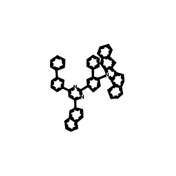 c1ccc(-c2cccc(-c3cc(-c4ccc5ccccc5c4)nc(-c4ccc(-n5c6cc7ccccc7cc6c6ccc7ccccc7c65)c(-c5ccccc5)c4)n3)c2)cc1